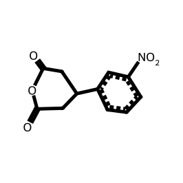 O=C1CC(c2cccc([N+](=O)[O-])c2)CC(=O)O1